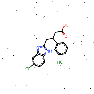 Cl.O=C(O)CC(Cc1nc2cc(Cl)ccc2[nH]1)c1ccccc1